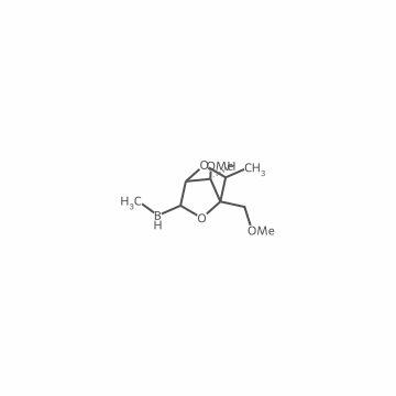 CBC1OC2(COC)C(C)OC1[C@H]2OC